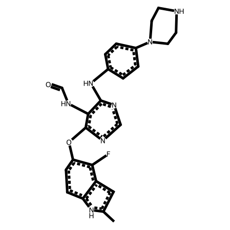 Cc1cc2c(F)c(Oc3ncnc(Nc4ccc(N5CCNCC5)cc4)c3NC=O)ccc2[nH]1